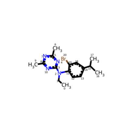 CCN(c1nc(C)nc(C)n1)c1ccc(C(C)C)cc1Br